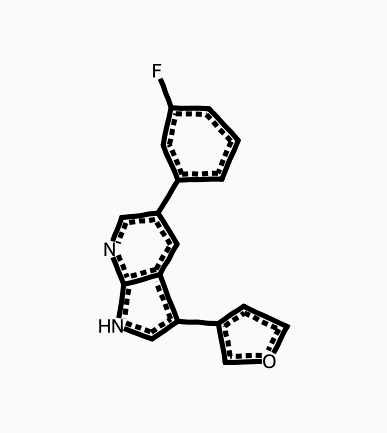 Fc1cccc(-c2cnc3[nH]cc(-c4ccoc4)c3c2)c1